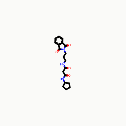 O=C(CC(=O)NC1CCCC1)NCCCN1C(=O)c2ccccc2C1=O